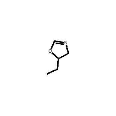 CCC1CN=CO1